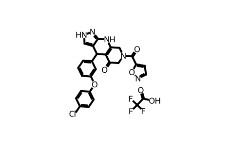 O=C(O)C(F)(F)F.O=C1CN(C(=O)c2ccno2)CC2=C1C(c1cccc(Oc3ccc(Cl)cc3)c1)c1c[nH]nc1N2